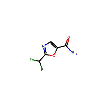 NC(=O)c1cnc(C(F)F)o1